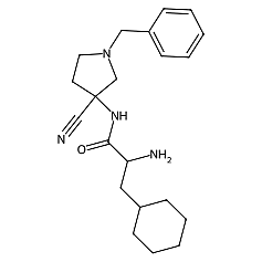 N#CC1(NC(=O)C(N)CC2CCCCC2)CCN(Cc2ccccc2)C1